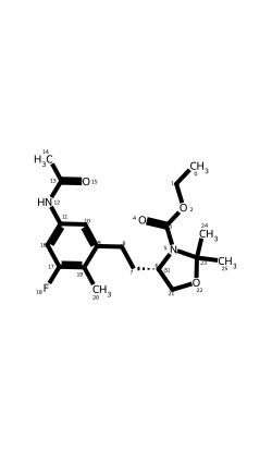 CCOC(=O)N1[C@@H](CCc2cc(NC(C)=O)cc(F)c2C)COC1(C)C